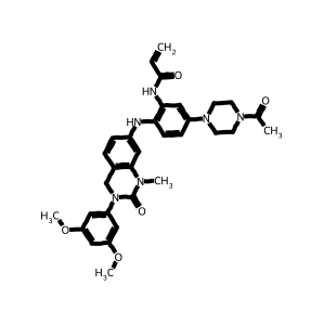 C=CC(=O)Nc1cc(N2CCN(C(C)=O)CC2)ccc1Nc1ccc2c(c1)N(C)C(=O)N(c1cc(OC)cc(OC)c1)C2